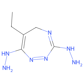 CCC1=C(NN)N=NC(NN)=NC1